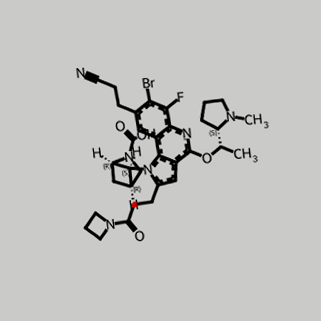 CC(Oc1nc2c(F)c(Br)c(CCC#N)cc2c2c1cc(CCC(=O)N1CCC1)n2[C@H]1[C@@H]2C[C@H]1N(C(=O)O)C2)[C@@H]1CCCN1C